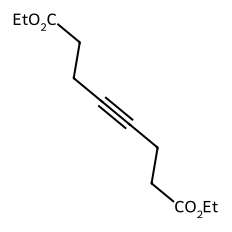 CCOC(=O)CCC#CCCC(=O)OCC